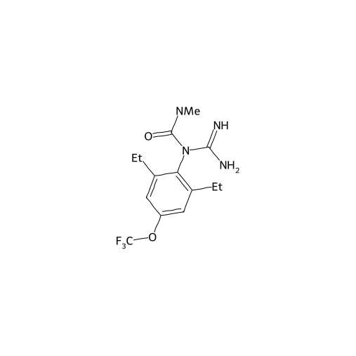 CCc1cc(OC(F)(F)F)cc(CC)c1N(C(=N)N)C(=O)NC